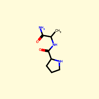 CC(NC(=O)C1CCCN1)C(N)=O